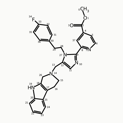 COC(=O)c1ccnc(-c2ncc(CN3CCc4c([nH]c5ccccc45)C3)n2CCc2ccc(F)cc2)c1